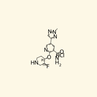 Cl.Cn1ncc(-c2cnc(O[C@@H]3CCNC[C@@H]3F)c(C(N)=O)c2)n1